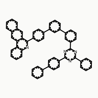 c1ccc(-c2ccc(-c3nc(-c4ccccc4)nc(-c4cccc(-c5cccc(-c6ccc(-c7nc8ccccc8c8cc9ccccc9cc78)cc6)c5)c4)n3)cc2)cc1